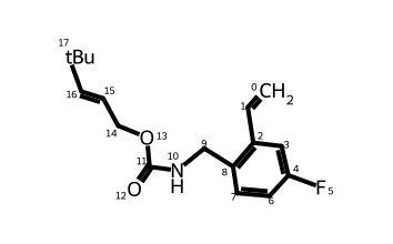 C=Cc1cc(F)ccc1CNC(=O)OCC=CC(C)(C)C